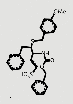 COc1ccc(CSC(Cc2ccccc2)C(C=CS(=O)(=O)O)NC(=O)OCc2ccccc2)cc1